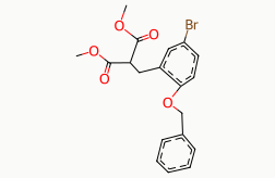 COC(=O)C(Cc1cc(Br)ccc1OCc1ccccc1)C(=O)OC